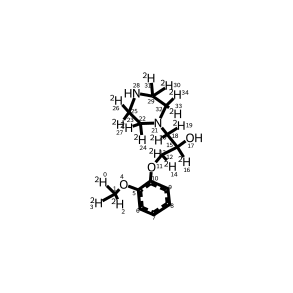 [2H]C([2H])([2H])Oc1ccccc1OC([2H])([2H])C([2H])(O)C([2H])([2H])N1C([2H])([2H])C([2H])([2H])NC([2H])([2H])C1([2H])[2H]